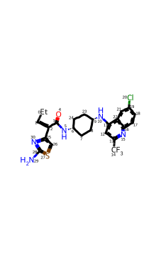 CC/C=C(\C(=O)N[C@H]1CC[C@@H](Nc2cc(C(F)(F)F)nc3ccc(Cl)cc23)CC1)c1csc(N)n1